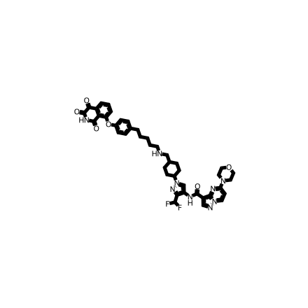 O=C1NC(=O)c2c(Oc3ccc(CCCCCNCC4CCC(n5cc(NC(=O)c6cnn7ccc(N8CCOCC8)nc67)c(C(F)F)n5)CC4)cc3)cccc2C1=O